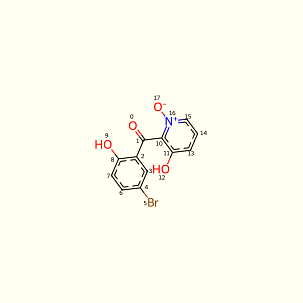 O=C(c1cc(Br)ccc1O)c1c(O)ccc[n+]1[O-]